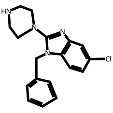 Clc1ccc2c(c1)nc(N1CCNCC1)n2Cc1ccccc1